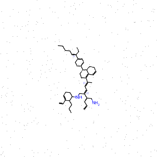 C=CCC(CN)/C(=C/C=C(\C)C1=C2C=CCCC2C(C2=CC=C(/C(=C/CCCC)CC)CC2)CC1)CNC1CCC=C(C=C)C1CCC